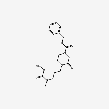 CN(CCCN1CCN(C(=O)OCc2ccccc2)CC1=O)C(=O)OC(C)(C)C